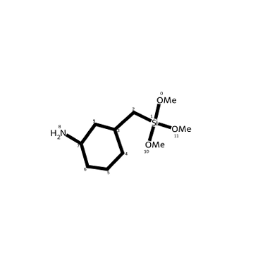 CO[Si](CC1CCCC(N)C1)(OC)OC